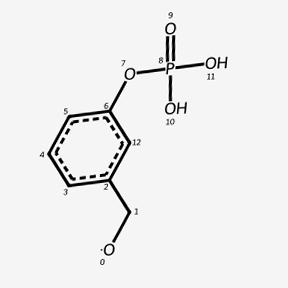 [O]Cc1cccc(OP(=O)(O)O)c1